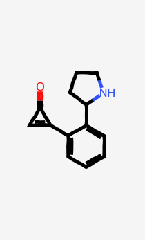 O=c1cc1-c1ccccc1C1CCCN1